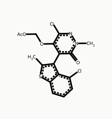 CC(=O)OCOc1c(Cl)nn(C)c(=O)c1-c1c(C)sc2cccc(Cl)c12